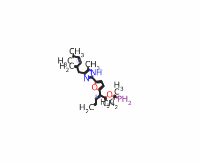 C=C/C=C(\C(=C)OC(C)(C)P)c1ccc(-c2nc(CC(=C)/C=C\C(C)C)c(C)[nH]2)o1